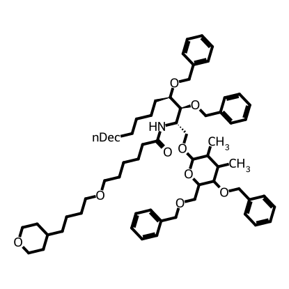 CCCCCCCCCCCCCC[C@@H](OCc1ccccc1)[C@@H](OCc1ccccc1)[C@H](COC1OC(COCc2ccccc2)C(OCc2ccccc2)C(C)C1C)NC(=O)CCCCCOCCCCC1CCOCC1